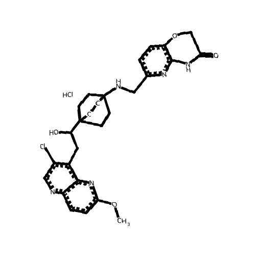 COc1ccc2ncc(Cl)c(CC(O)C34CCC(NCc5ccc6c(n5)NC(=O)CO6)(CC3)CC4)c2n1.Cl